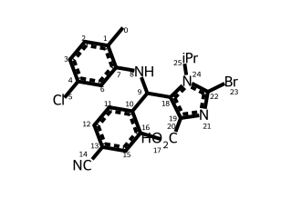 Cc1ccc(Cl)cc1NC(c1ccc(C#N)cc1C)c1c(C(=O)O)nc(Br)n1C(C)C